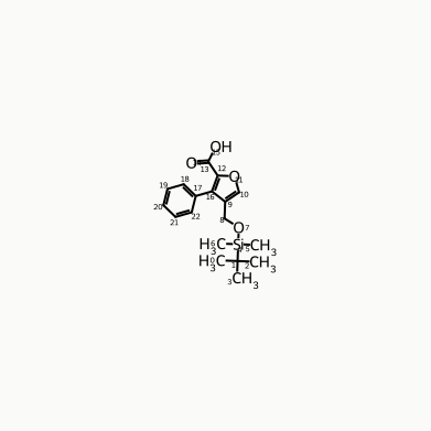 CC(C)(C)[Si](C)(C)OCc1coc(C(=O)O)c1-c1ccccc1